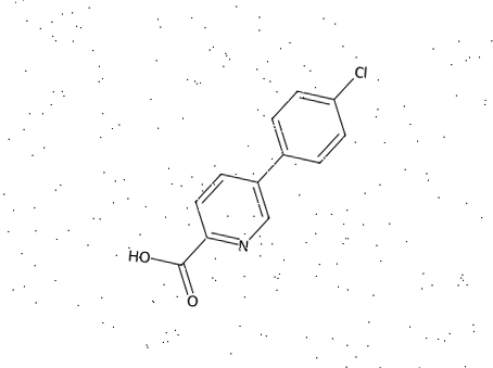 O=C(O)c1ccc(-c2ccc(Cl)cc2)cn1